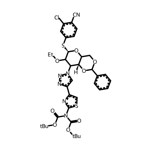 CCOC1C(n2cc(-c3csc(N(C(=O)OC(C)(C)C)C(=O)OC(C)(C)C)n3)nn2)[C@H]2OC(c3ccccc3)OCC2O[C@@H]1Sc1ccc(C#N)c(Cl)c1